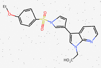 CCOc1ccc(S(=O)(=O)n2ccc(-c3cn(CC(=O)O)c4ncccc34)c2)cc1